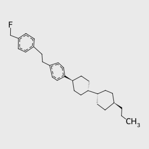 CCC[C@H]1CC[C@H]([C@H]2CC[C@H](c3ccc(CCc4ccc(CF)cc4)cc3)CC2)CC1